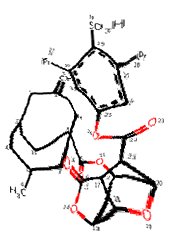 C=C1CC2CC(C)CC(C(=O)OC3C4OC(=O)C5C4OC3C5C(=O)Oc3cc(C(C)C)c(S(=O)(=O)O)c(C(C)C)c3)(C1)C2